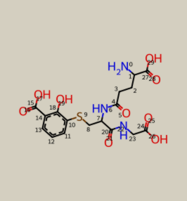 NC(CCC(=O)NC(CSc1cccc(C(=O)O)c1O)C(=O)NCC(=O)O)C(=O)O